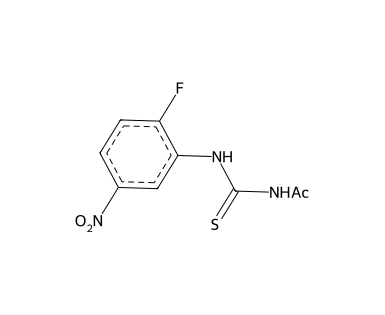 CC(=O)NC(=S)Nc1cc([N+](=O)[O-])ccc1F